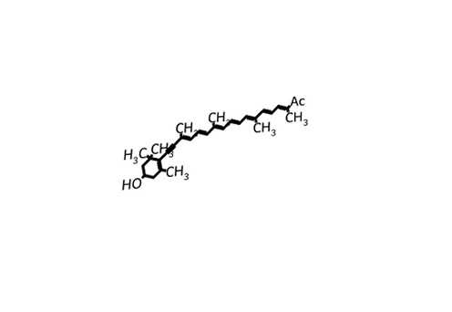 CC(=O)/C(C)=C/C=C/C(C)=C/C=C/C=C(C)/C=C/C=C(\C)C#CC1=C(C)CC(O)CC1(C)C